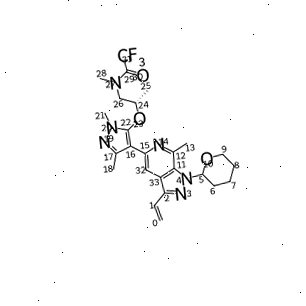 C=Cc1nn(C2CCCCO2)c2c(C)nc(-c3c(C)nn(C)c3O[C@@H](C)CN(C)C(=O)C(F)(F)F)cc12